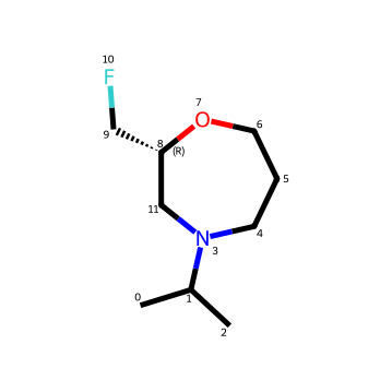 CC(C)N1CCCO[C@@H](CF)C1